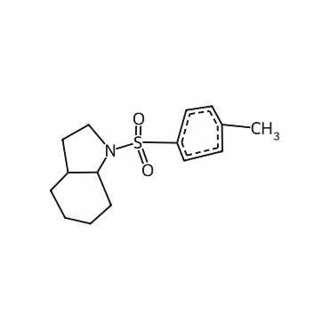 Cc1ccc(S(=O)(=O)N2CCC3CCCCC32)cc1